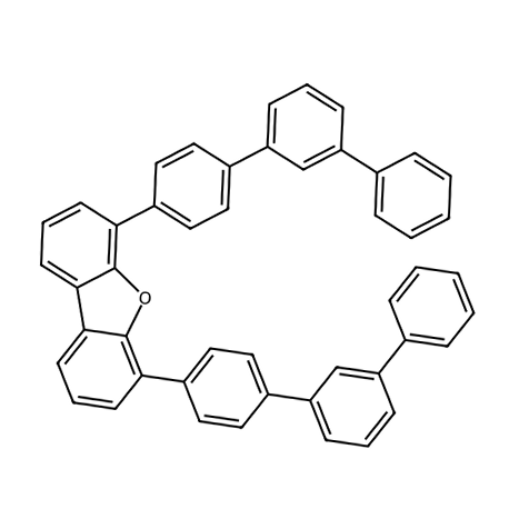 c1ccc(-c2cccc(-c3ccc(-c4cccc5c4oc4c(-c6ccc(-c7cccc(-c8ccccc8)c7)cc6)cccc45)cc3)c2)cc1